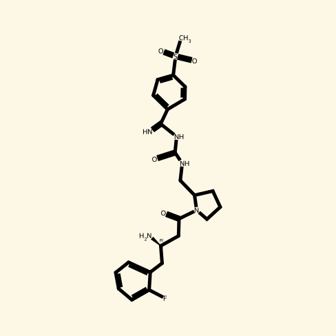 CS(=O)(=O)c1ccc(C(=N)NC(=O)NCC2CCCN2C(=O)C[C@H](N)Cc2ccccc2F)cc1